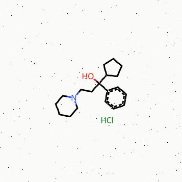 Cl.OC(CCN1CCCCC1)(c1ccccc1)C1CCCC1